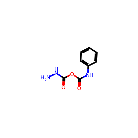 NNC(=O)OC(=O)Nc1ccccc1